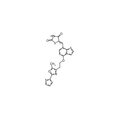 Cc1oc(-c2cccs2)nc1CCOc1ccc(/C=C2\SC(=O)NC2=O)c2sccc12